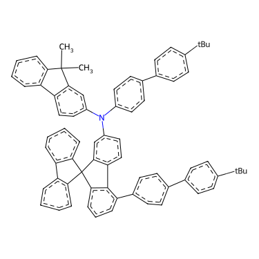 CC(C)(C)c1ccc(-c2ccc(-c3cccc4c3-c3ccc(N(c5ccc(-c6ccc(C(C)(C)C)cc6)cc5)c5ccc6c(c5)C(C)(C)c5ccccc5-6)cc3C43c4ccccc4-c4ccccc43)cc2)cc1